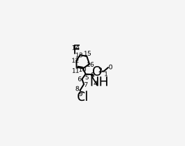 CCOC(=N)C(CCCCl)C1=CCC(F)CC1